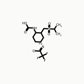 CC(C)S(=O)(=O)CC1C[C@H](N=C(Cl)C(F)(F)F)CCC1NC(=O)O